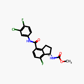 COC(=O)N[C@H]1CCc2c(C(=O)Nc3ccc(F)c(Cl)c3)ccc(F)c21